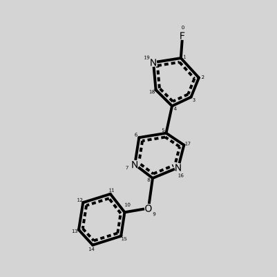 Fc1ccc(-c2cnc(Oc3ccccc3)nc2)cn1